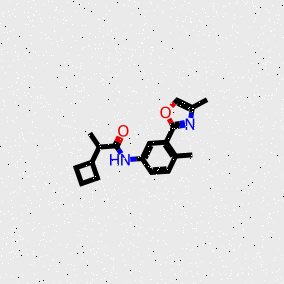 Cc1coc(-c2cc(NC(=O)C(C)C3CCC3)ccc2C)n1